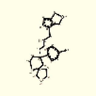 Fc1ccc([C@]2(CCNCc3scc4c3COC4)CCO[C@]3(CCOC3)C2)cc1